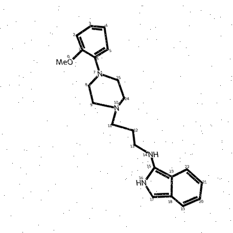 COc1ccccc1N1CCN(CCCNc2[nH]cc3ccccc23)CC1